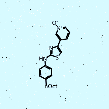 CCCCCCCCc1ccc(Nc2nc(-c3ccc[n+]([O-])c3)cs2)cc1